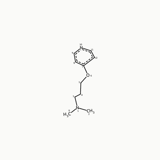 CN(C)CCCOc1ccncc1